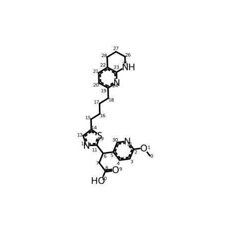 COc1ccc(C(CC(=O)O)c2ncc(CCCCc3ccc4c(n3)NCCC4)s2)cn1